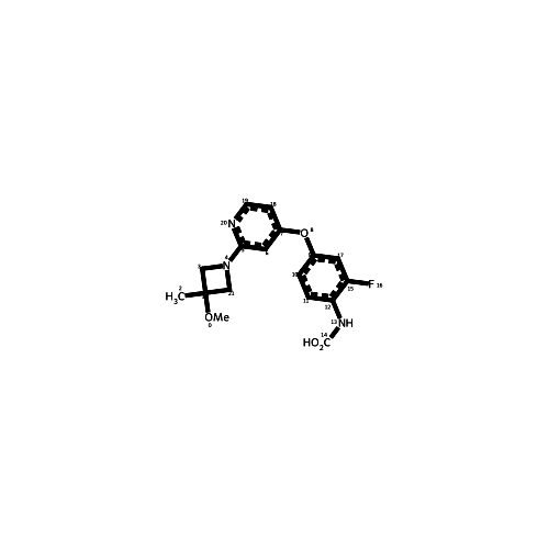 COC1(C)CN(c2cc(Oc3ccc(NC(=O)O)c(F)c3)ccn2)C1